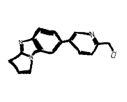 ClCc1ccc(-c2ccc3nc4n(c3c2)CCC4)cn1